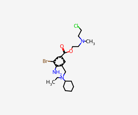 CCN(Cc1cc(C(=O)OCCN(C)CCCl)cc(Br)c1N)C1CCCCC1